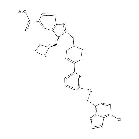 COC(=O)c1ccc2nc(CC3CC=C(c4cccc(OCc5ccc(Cl)c6ccoc56)n4)CC3)n(C[C@@H]3CCO3)c2c1